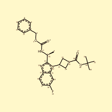 C[C@H](NC(=O)OCc1ccccc1)c1nc2ccc(F)cc2n1C1CN(C(=O)OC(C)(C)C)C1